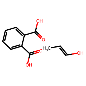 CC=CO.O=C(O)c1ccccc1C(=O)O